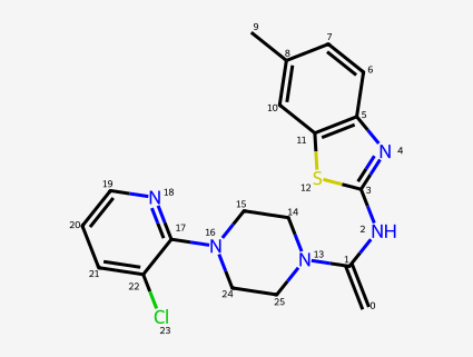 C=C(Nc1nc2ccc(C)cc2s1)N1CCN(c2ncccc2Cl)CC1